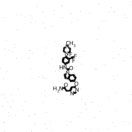 CN1CCN(c2ccc(NC(=O)n3ccc4cc(Oc5cc(CC(N)=O)ncn5)ccc43)cc2C(F)(F)F)CC1